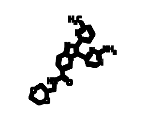 Cc1cccc(-c2nc3ccc(C(=O)NCC4COCCO4)cn3c2-c2ccnc(N)n2)n1